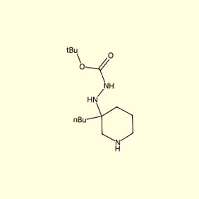 CCCCC1(NNC(=O)OC(C)(C)C)CCCNC1